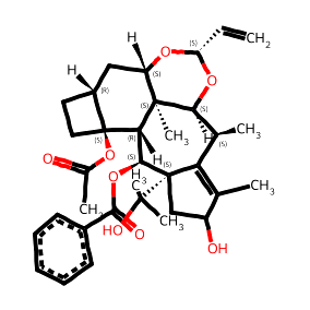 C=C[C@H]1O[C@H]2C[C@H]3CC[C@@]3(OC(C)=O)[C@H]3[C@H](OC(=O)c4ccccc4)[C@]4(C(C)(C)O)CC(O)C(C)=C4[C@H](C)[C@H](O1)[C@]23C